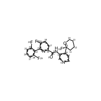 O=C(Nc1cnccc1[C@@]1(F)CCCCO1)c1ccc(F)c(-c2c(F)cccc2F)n1